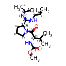 C=CCN/C(=N\C(C)C)[C@@H]1CCCN1C(=O)[C@@H](NC(=O)OC)C(C)C